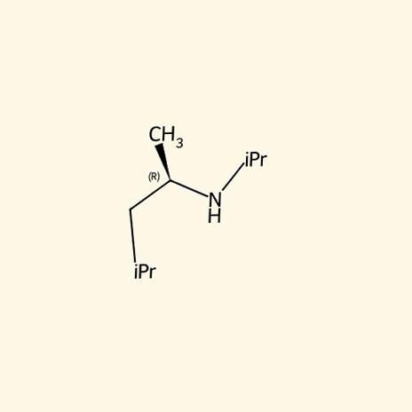 CC(C)C[C@@H](C)NC(C)C